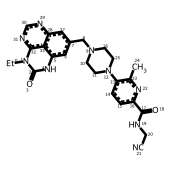 CCN1C(=O)Nc2cc(CN3CCN(c4ccc(C(=O)NCC#N)nc4C)CC3)cc3ncnc1c23